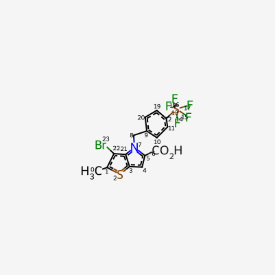 Cc1sc2cc(C(=O)O)n(Cc3ccc(S(F)(F)(F)(F)F)cc3)c2c1Br